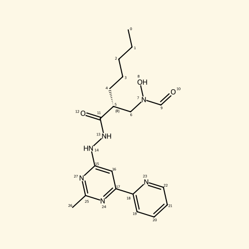 CCCCC[C@H](CN(O)C=O)C(=O)NNc1cc(-c2ccccn2)nc(C)n1